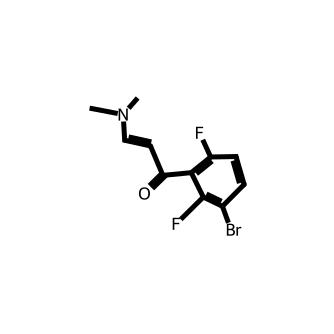 CN(C)C=CC(=O)c1c(F)ccc(Br)c1F